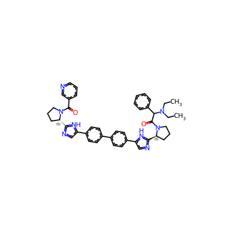 CCN(CC)C(C(=O)N1CCC[C@H]1c1ncc(-c2ccc(-c3ccc(-c4cnc([C@@H]5CCCN5C(=O)c5cccnc5)[nH]4)cc3)cc2)[nH]1)c1ccccc1